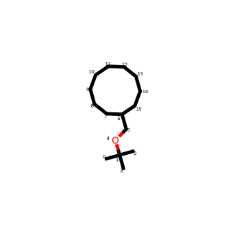 CC(C)(C)OCC1CCCCCCCCC1